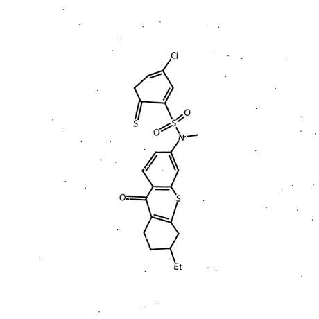 CCC1CCc2c(sc3cc(N(C)S(=O)(=O)C4=CC(Cl)=CCC4=S)ccc3c2=O)C1